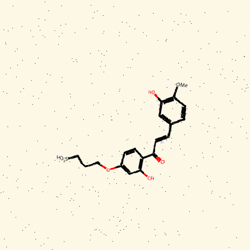 COc1ccc(/C=C/C(=O)c2ccc(OCCCS(=O)(=O)O)cc2O)cc1O